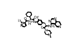 CCn1nccc1C(=O)N[C@H](C(=O)Nc1ccc(C[C@@H](Nc2ncnc3ccncc23)C(=O)N2CCN(C)CC2)cc1F)C1CCCCC1